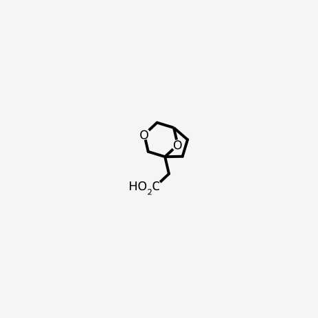 O=C(O)CC12CCC(COC1)O2